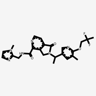 Cc1cc(C(C)N2Cc3c(ccnc3C(=O)NCc3nccn3C)C2=O)cnc1OCC(C)(F)F